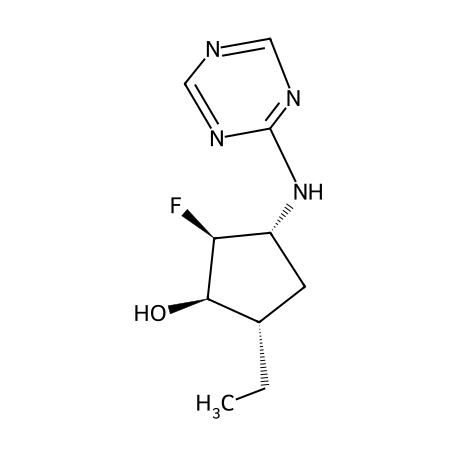 CC[C@H]1C[C@@H](Nc2ncncn2)[C@H](F)[C@@H]1O